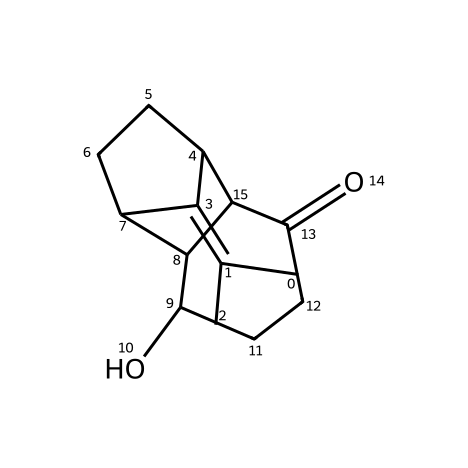 CC(C)=C1C2CCC1C1C(O)CCC(=O)C21